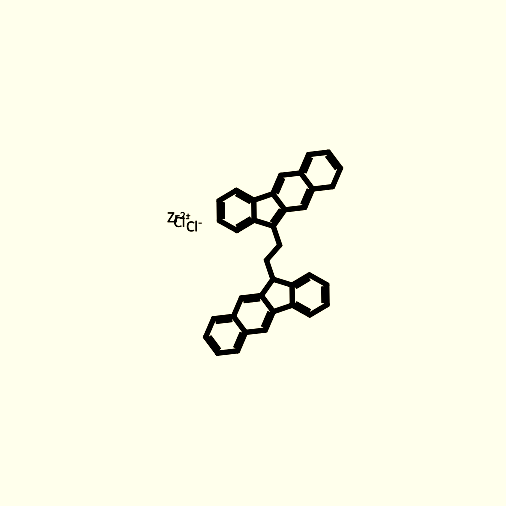 C1=CCc2cc3c(cc2=C1)-c1ccccc1C=3CCC1c2ccccc2-c2cc3ccccc3cc21.[Cl-].[Cl-].[Zr+2]